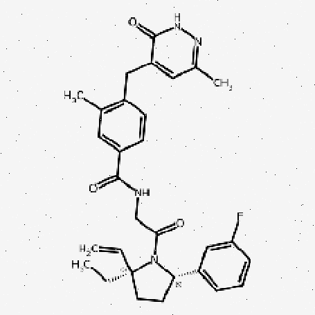 C=C[C@]1(CC)CC[C@@H](c2cccc(F)c2)N1C(=O)CNC(=O)c1ccc(Cc2cc(C)n[nH]c2=O)c(C)c1